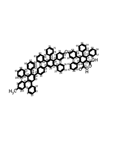 Cc1ccc(-c2c(-c3ccccc3)cc(-c3ccc(-c4cc(-c5ccccc5)c(-c5ccc(Oc6ccc(-c7c(-c8ccccc8)c(C(=O)O)c(C(=O)O)c(-c8ccccc8)c7-c7ccccc7)cc6)cc5)c(-c5ccccc5)c4-c4ccccc4)cc3)c(-c3ccccc3)c2-c2ccccc2)cc1